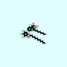 CCCCCCCCC(Cl)(Cl)C(Cl)(Cl)C(Cl)(C(=O)O)c1ccccc1.CCCCCCCCCCCC(=O)Oc1c(Cl)c(Cl)c(Cl)c(Cl)c1Cl